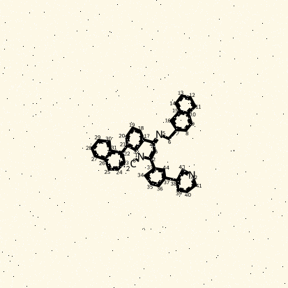 C=N/C(=C\C(=N/Cc1ccc2ccccc2c1)c1cccc(-c2cccc3ccccc23)c1)c1cccc(-c2cccnc2)c1